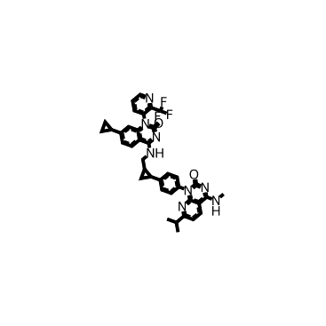 CNc1nc(=O)n(-c2ccc(C3CC3CNc3nc(=O)n(-c4cccnc4C(F)(F)F)c4cc(C5CC5)ccc34)cc2)c2nc(C(C)C)ccc12